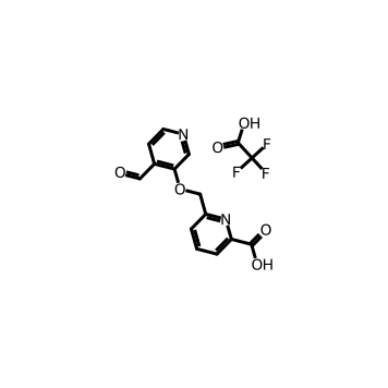 O=C(O)C(F)(F)F.O=Cc1ccncc1OCc1cccc(C(=O)O)n1